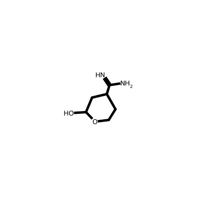 N=C(N)C1CCOC(O)C1